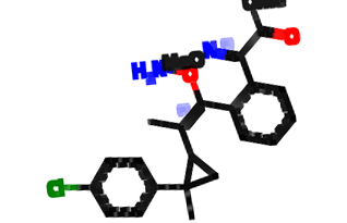 CO/N=C(/C(=O)OC)c1ccccc1/C(ON)=C(/C)C1CC1(C)c1ccc(Cl)cc1